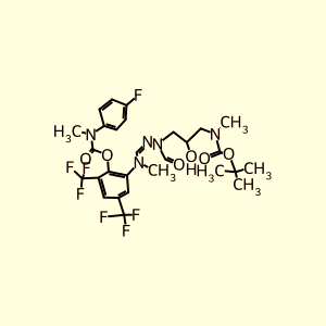 CN(CC(O)CN(C=O)/N=C\N(C)c1cc(C(F)(F)F)cc(C(F)(F)F)c1OC(=O)N(C)c1ccc(F)cc1)C(=O)OC(C)(C)C